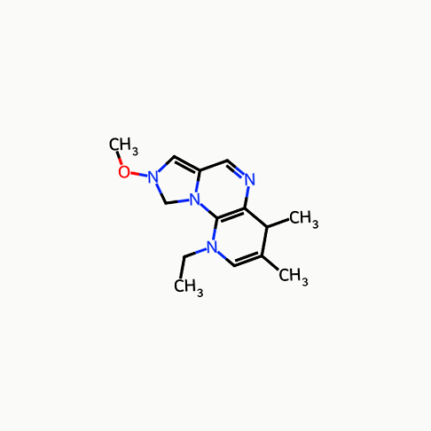 CCN1C=C(C)C(C)C2=C1N1CN(OC)C=C1C=N2